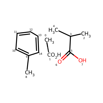 CC(=O)O.CC(C)C(=O)O.Cc1ccccc1